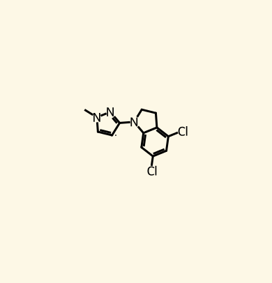 Cn1c[c]c(N2CCc3c(Cl)cc(Cl)cc32)n1